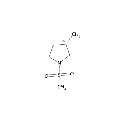 C[C@H]1CCN(S(C)(=O)=O)C1